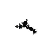 N=N/N=C\NCC(O)(c1ccc(F)cc1F)C(F)(F)c1ccc(-c2ccc(OCC(F)(F)F)cc2)cn1